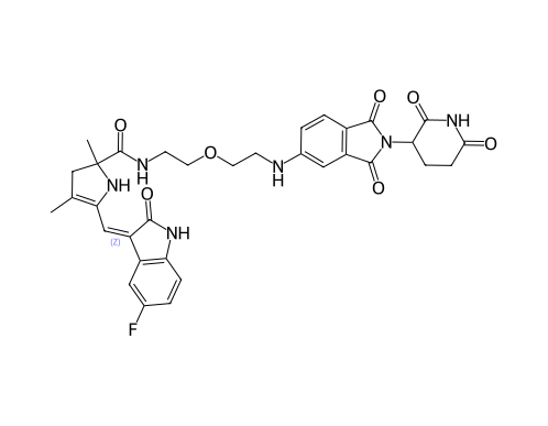 CC1=C(/C=C2\C(=O)Nc3ccc(F)cc32)NC(C)(C(=O)NCCOCCNc2ccc3c(c2)C(=O)N(C2CCC(=O)NC2=O)C3=O)C1